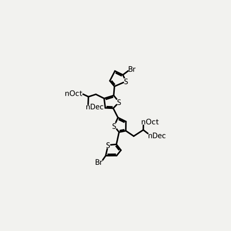 CCCCCCCCCCC(CCCCCCCC)Cc1cc(-c2cc(CC(CCCCCCCC)CCCCCCCCCC)c(-c3ccc(Br)s3)s2)sc1-c1ccc(Br)s1